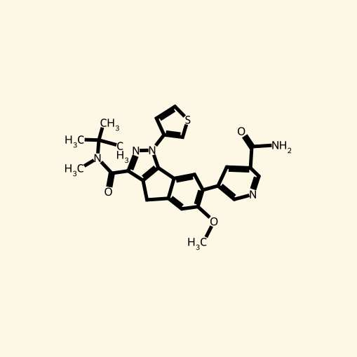 COc1cc2c(cc1-c1cncc(C(N)=O)c1)-c1c(c(C(=O)N(C)C(C)(C)C)nn1-c1ccsc1)C2